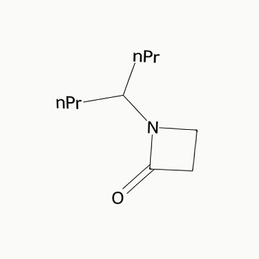 CCCC(CCC)N1CCC1=O